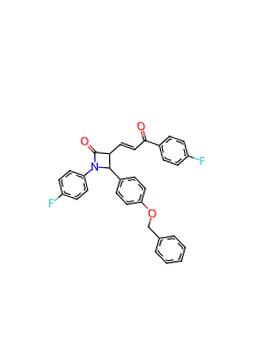 O=C(C=CC1C(=O)N(c2ccc(F)cc2)C1c1ccc(OCc2ccccc2)cc1)c1ccc(F)cc1